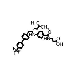 CC(C)CC[C@@H](Cc1ccc(-c2ccc(C(F)(F)F)cc2)cc1)Nc1ccc(C(=O)NCCC(=O)O)cc1